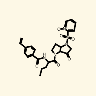 C=Cc1ccc(C(=O)NC(CCC)C(=O)N2CCC3C2C(=O)CN3S(=O)(=O)c2cccc[n+]2[O-])cc1